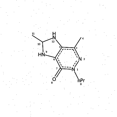 CCCn1nc(C)c2c(c1=O)NC(C)N2